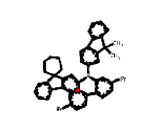 CC(C)c1ccc(-c2ccc(C(C)C)cc2N(c2ccc3c(c2)C(C)(C)c2ccccc2-3)c2ccc3c(c2)C2(CCCCC2)c2ccccc2-3)cc1